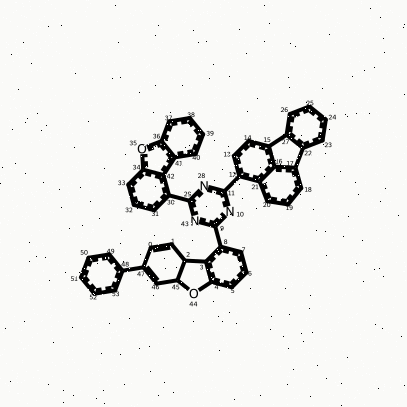 C1=CC2c3c(cccc3-c3nc(-c4ccc5c6c(cccc46)-c4ccccc4-5)nc(-c4cccc5oc6ccccc6c45)n3)OC2C=C1c1ccccc1